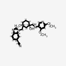 COc1cc(OC)c(NC[C@]2(O)CCC[C@](C)(Cn3cnc4ccc(C#N)cc43)C2)cn1